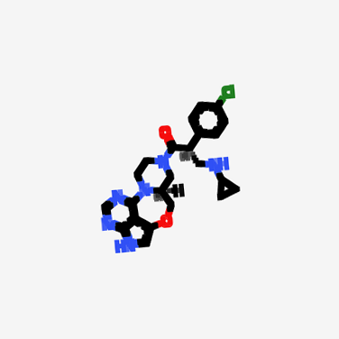 O=C([C@@H](CNC1CC1)c1ccc(Cl)cc1)N1CCN2c3ncnc4[nH]cc(c34)OC[C@@H]2C1